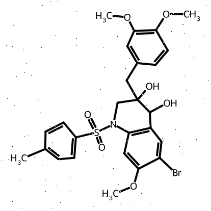 COc1cc2c(cc1Br)C(O)C(O)(Cc1ccc(OC)c(OC)c1)CN2S(=O)(=O)c1ccc(C)cc1